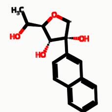 CC(O)[C@H]1O[CH][C@@](O)(c2ccc3ccccc3c2)[C@@H]1O